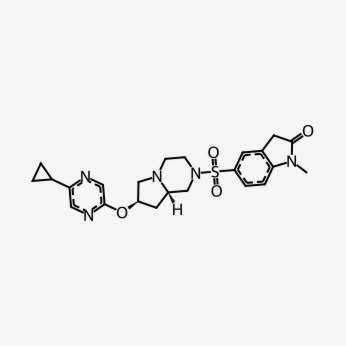 CN1C(=O)Cc2cc(S(=O)(=O)N3CCN4C[C@H](Oc5cnc(C6CC6)cn5)C[C@H]4C3)ccc21